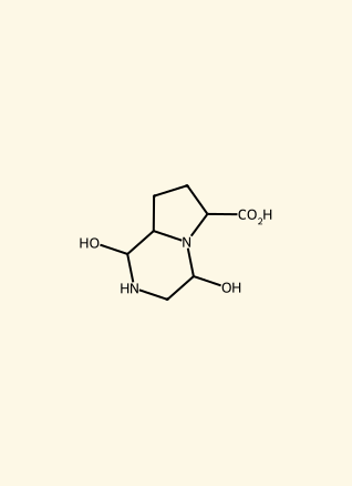 O=C(O)C1CCC2C(O)NCC(O)N12